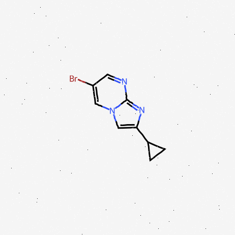 Brc1cnc2nc(C3CC3)cn2c1